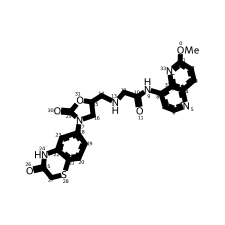 COc1ccc2nccc(NC(=O)CNCC3CN(c4ccc5c(c4)NC(=O)CS5)C(=O)O3)c2n1